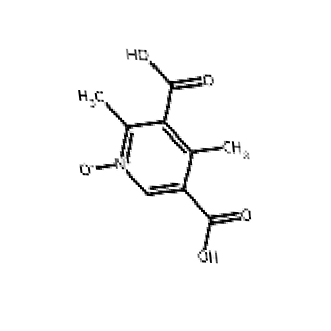 Cc1c(C(=O)O)c[n+]([O-])c(C)c1C(=O)O